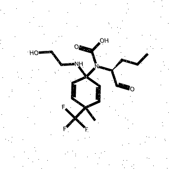 CCC[C@@H](C=O)N(C(=O)O)C1(NCCO)C=CC(C)(C(F)(F)F)C=C1